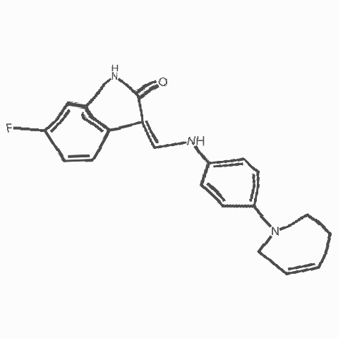 O=C1Nc2cc(F)ccc2C1=CNc1ccc(N2CC=CCC2)cc1